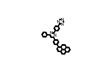 c1ccc(-c2cc(-c3ccc(-c4ccc5ccc6cccc7ccc4c5c67)cc3)nc(-c3ccc(-c4ncncn4)cc3)n2)cc1